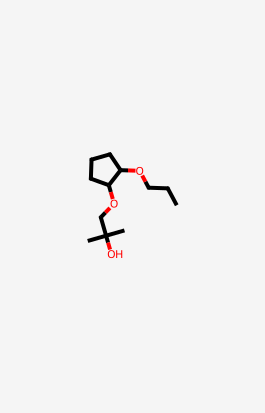 CCCOC1CCCC1OCC(C)(C)O